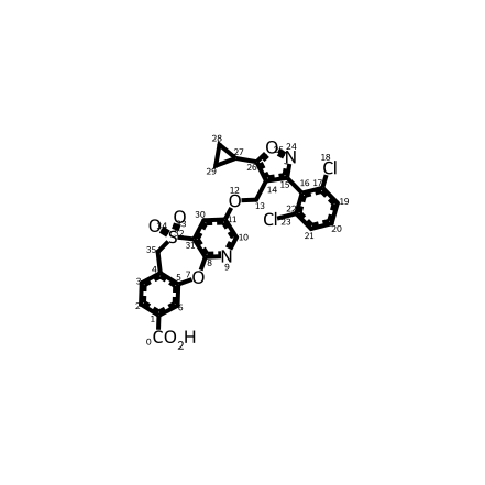 O=C(O)c1ccc2c(c1)Oc1ncc(OCc3c(-c4c(Cl)cccc4Cl)noc3C3CC3)cc1S(=O)(=O)C2